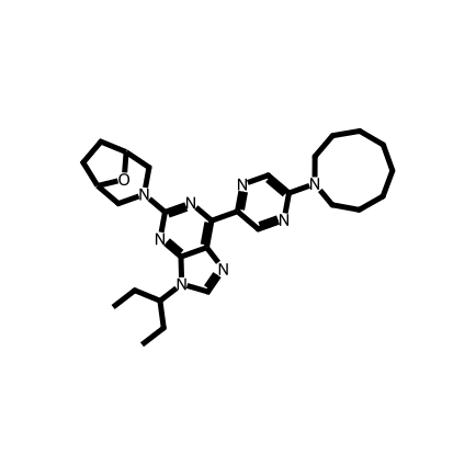 CCC(CC)n1cnc2c(-c3cnc(N4CCCCCCCC4)cn3)nc(N3CC4CCC(C3)O4)nc21